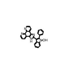 On1c(-c2ccccc2)c(-c2nc3c4cccnc4c4ncccc4c3[nH]2)c2ccccc21